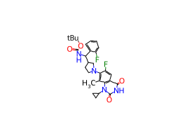 Cc1c(N2CCC(C(NC(=O)OC(C)(C)C)c3ccccc3F)C2)c(F)cc2c(=O)[nH]c(=O)n(C3CC3)c12